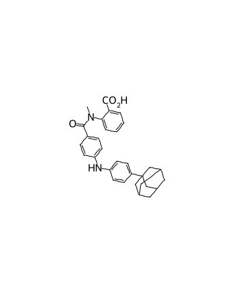 CN(C(=O)c1ccc(Nc2ccc(C34CC5CC(CC(C5)C3)C4)cc2)cc1)c1ccccc1C(=O)O